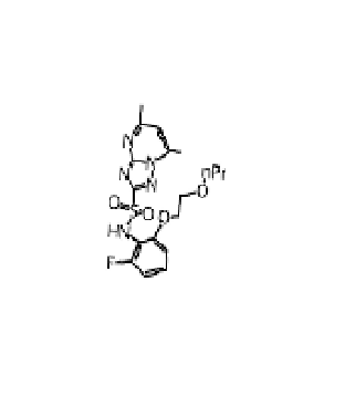 CCCOCCOc1cccc(F)c1NS(=O)(=O)c1nc2nc(C)cc(C)n2n1